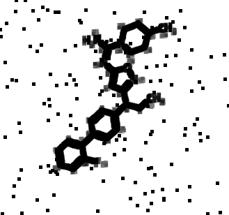 CCC(c1ccc(-c2ccccc2F)cc1)c1cc(N=C(N)N2CCC(C)CC2)on1